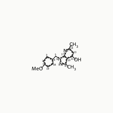 COc1ccc(Cn2nc(C)c3c(O)cc(C)nc32)cc1